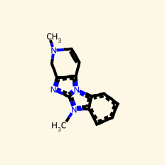 CN1C=Cc2c(nc3n(C)c4ccccc4n23)C1